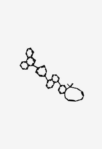 CC1(C)C/C=C\C/C=C\Cc2ccc(-c3cccc4c(-c5ccc(-c6cc7ccccc7c7ccccc67)cc5)cccc34)cc21